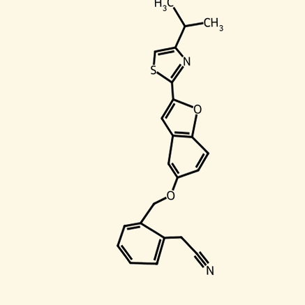 CC(C)c1csc(-c2cc3cc(OCc4ccccc4CC#N)ccc3o2)n1